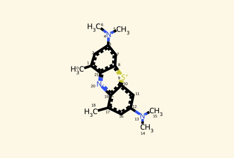 Cc1cc(N(C)C)cc2[s+]c3cc(N(C)C)cc(C)c3nc12